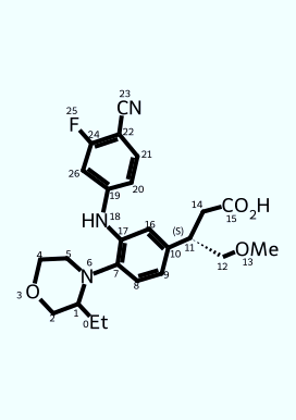 CCC1COCCN1c1ccc([C@@H](COC)CC(=O)O)cc1Nc1ccc(C#N)c(F)c1